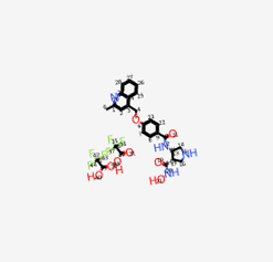 Cc1cc(COc2ccc(C(=O)N[C@@H]3CNC[C@@H]3C(=O)NO)cc2)c2ccccc2n1.O=C(O)C(F)(F)F.O=C(O)C(F)(F)F